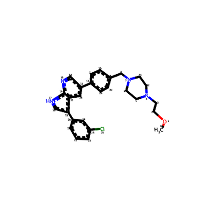 COCCN1CCN(Cc2ccc(-c3cnc4[nH]cc(-c5cccc(Cl)c5)c4c3)cc2)CC1